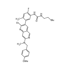 CCc1nc2cc(N(C)Cc3ccc(OC)cc3)ncc2cc1-c1cc(NC(=O)NCCC(C)(C)C)c(F)cc1C